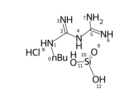 CCCCNC(=N)NC(=N)N.Cl.O=[Si](O)O